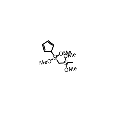 CO[Si](C)(C[Si](OC)(OC)C1C=CC=C1)OC